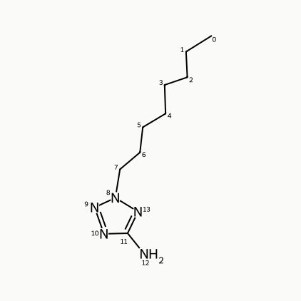 CCCCCCCCn1nnc(N)n1